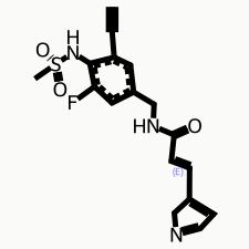 C#Cc1cc(CNC(=O)/C=C/C2=CC=NC2)cc(F)c1NS(C)(=O)=O